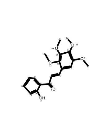 COc1cc(C=CC(=O)c2ccccc2O)c(OC)c(OC)c1OC